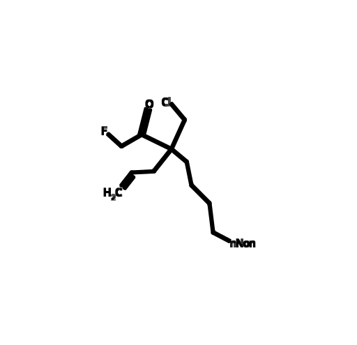 C=CCC(CCl)(CCCCCCCCCCCCC)C(=O)CF